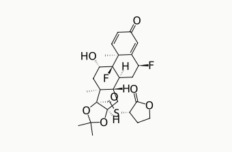 CC1(C)O[C@@H]2C[C@H]3[C@@H]4C[C@H](F)C5=CC(=O)C=C[C@]5(C)[C@@]4(F)[C@@H](O)C[C@]3(C)[C@]2(C(=O)S[C@H]2CCOC2=O)O1